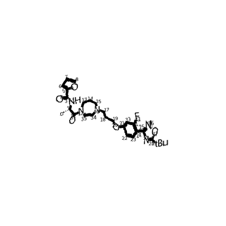 C[C@H](NC(=O)c1ccco1)C(=O)N1CCCN(CCCOc2ccc(-c3noc(C(C)(C)C)n3)c(F)c2)CC1